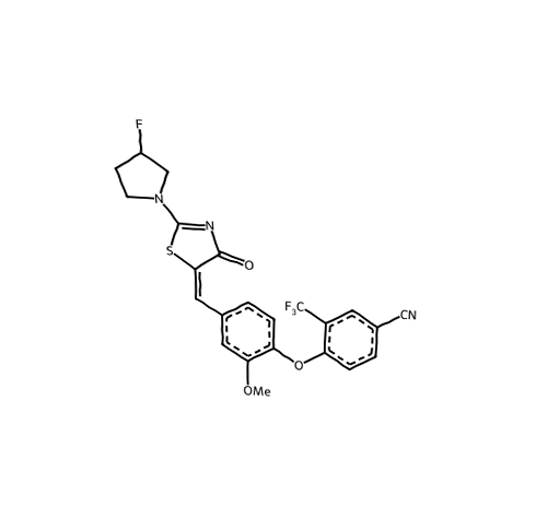 COc1cc(C=C2SC(N3CCC(F)C3)=NC2=O)ccc1Oc1ccc(C#N)cc1C(F)(F)F